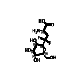 N[C@@H](CC(F)(F)[C@H]1O[C@H](CO)[C@H](O)[C@H](O)[C@H]1O)C(=O)O